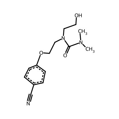 CN(C)C(=O)N(CCO)CCOc1ccc(C#N)cc1